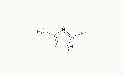 Cc1c[nH]c(F)n1